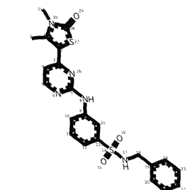 Cc1c(-c2ccnc(Nc3cccc(S(=O)(=O)NCc4ccccc4)c3)n2)sc(=O)n1C